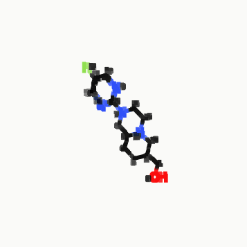 OCC1CCC2CN(c3ncc(F)cn3)CCN2C1